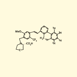 [2H]c1c([2H])c([2H])c(-c2cccc(/C=C/c3cc(OC)c(CN4CCCC[C@H]4C(=O)O)cc3C(F)(F)F)c2C)c([2H])c1[2H]